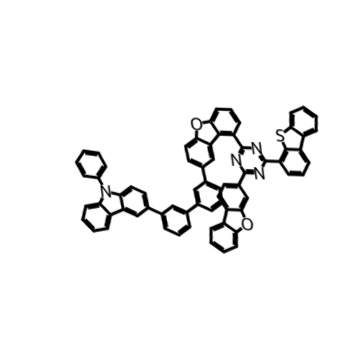 c1ccc(-n2c3ccccc3c3cc(-c4cccc(-c5cccc(-c6ccc7oc8cccc(-c9nc(-c%10ccc%11c(c%10)oc%10ccccc%10%11)nc(-c%10cccc%11c%10sc%10ccccc%10%11)n9)c8c7c6)c5)c4)ccc32)cc1